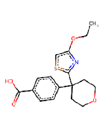 CCOc1csc(C2(c3ccc(C(=O)O)cc3)CCOCC2)n1